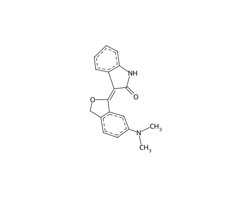 CN(C)c1ccc2c(c1)C(=C1C(=O)Nc3ccccc31)OC2